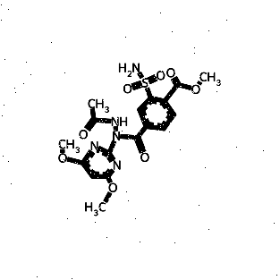 COC(=O)c1ccc(C(=O)N(NC(C)=O)c2nc(OC)cc(OC)n2)cc1S(N)(=O)=O